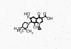 Cc1c(N2CCC(N)C(C)(C)C2)c(F)cc2c(=O)c(C(=O)O)cn(C3CC3)c12.Cl